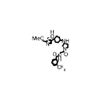 COCc1ncc(C2(O)CCC(N[C@H]3CCN(C(=O)CNC(=O)c4cccc(C(F)(F)F)c4)C3)CC2)s1